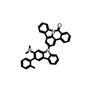 Cc1ccccc1-c1cc2c3ccccc3n(-c3cc4c5ccccc5c(=O)n5c6ccccc6c(c3)c45)c2cc1N(C)C